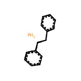 P.c1ccc(CCc2ccccc2)cc1